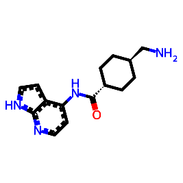 NC[C@H]1CC[C@H](C(=O)Nc2ccnc3[nH]ccc23)CC1